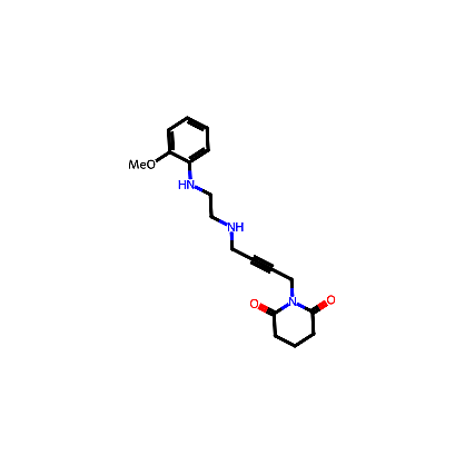 COc1ccccc1NCCNCC#CCN1C(=O)CCCC1=O